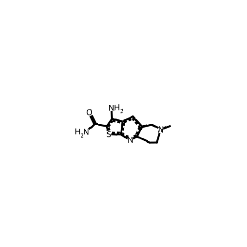 CN1CCc2nc3sc(C(N)=O)c(N)c3cc2C1